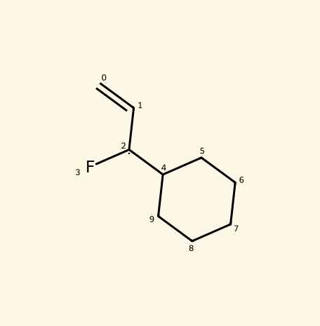 C=C[C](F)C1CCCCC1